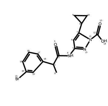 CC(C(=O)Nc1cc(C2CC2)n(C(=O)O)n1)c1cccc(Br)c1